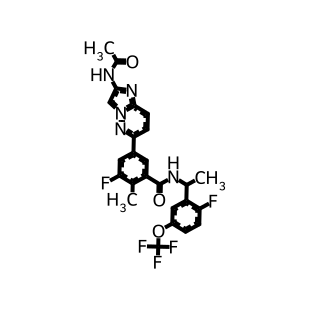 CC(=O)Nc1cn2nc(-c3cc(F)c(C)c(C(=O)NC(C)c4cc(OC(F)(F)F)ccc4F)c3)ccc2n1